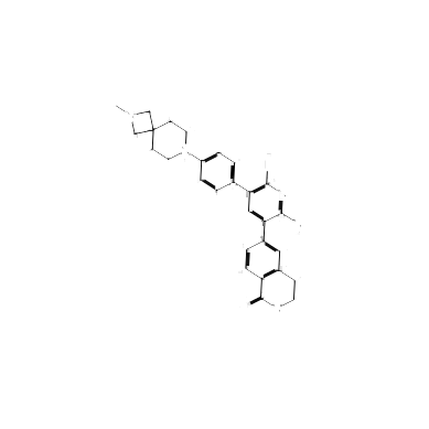 CN1CC2(CCN(c3ccc(-c4cc(-c5ccc6c(c5)CCNC6=O)c(N)nc4F)cc3)CC2)C1